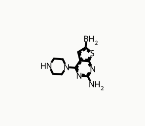 Bc1cc2c(N3CCNCC3)nc(N)nc2s1